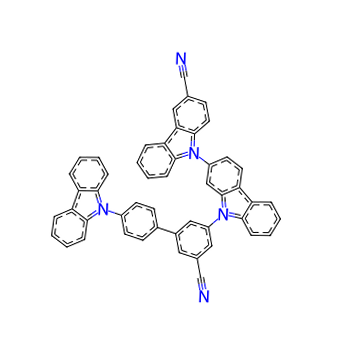 N#Cc1cc(-c2ccc(-n3c4ccccc4c4ccccc43)cc2)cc(-n2c3ccccc3c3ccc(-n4c5ccccc5c5cc(C#N)ccc54)cc32)c1